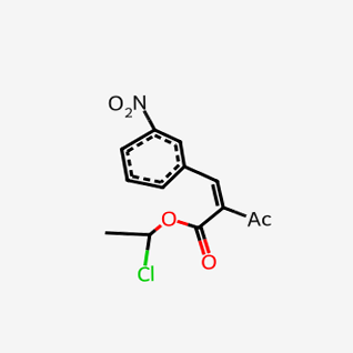 CC(=O)C(=Cc1cccc([N+](=O)[O-])c1)C(=O)OC(C)Cl